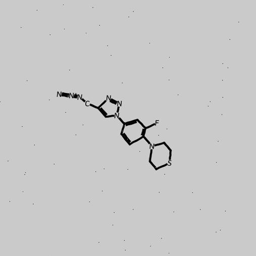 [N-]=[N+]=NCc1cn(-c2ccc(N3CCSCC3)c(F)c2)nn1